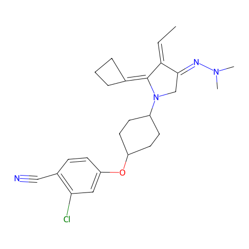 C/C=C1/C(=C2CCC2)N(C2CCC(Oc3ccc(C#N)c(Cl)c3)CC2)C/C1=N\N(C)C